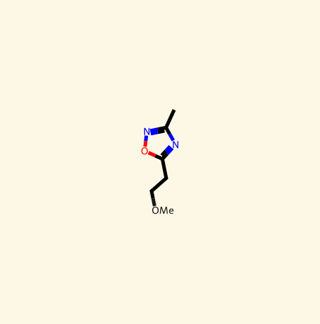 COCCc1nc(C)no1